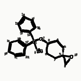 CC(C)(C)[Si](O[C@H]1CC[C@@]2(CC1)CO2)(c1ccccc1)c1ccccc1